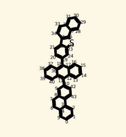 c1ccc2c(c1)ccc1cc(-c3c4ccccc4c(-c4ccc5c(c4)sc4c6ccccc6ccc54)c4ccccc34)ccc12